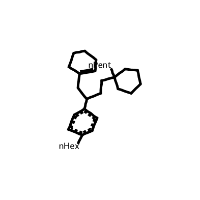 CCCCCCc1ccc(C(CCC2(CCCCC)CCCCC2)CC2=CCCCC2)cc1